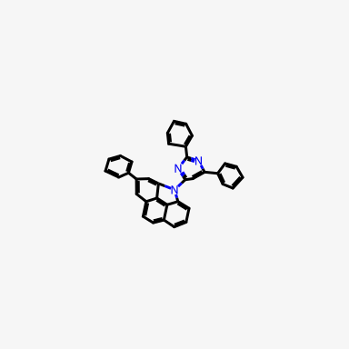 c1ccc(-c2cc3ccc4cccc5c4c3c(c2)n5-c2cc(-c3ccccc3)nc(-c3ccccc3)n2)cc1